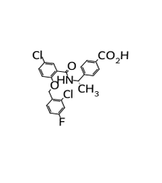 C[C@H](NC(=O)c1cc(Cl)ccc1OCc1ccc(F)cc1Cl)c1ccc(C(=O)O)cc1